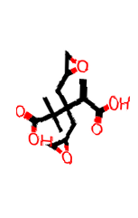 C=C(C(=O)O)C(CC1CO1)(CC1CO1)C(C)(C)C(=O)O